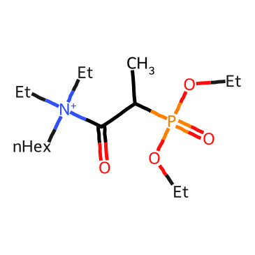 CCCCCC[N+](CC)(CC)C(=O)C(C)P(=O)(OCC)OCC